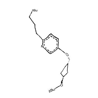 CC(C)(C)CCCc1ccc(O[C@H]2C[C@H](OC(C)(C)C)C2)cn1